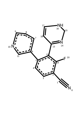 N#Cc1ccc(-c2cccnc2)c(C2=NCNC=C2)c1F